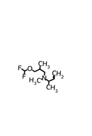 C=CC(C)N(C)CC(C)COC(F)F